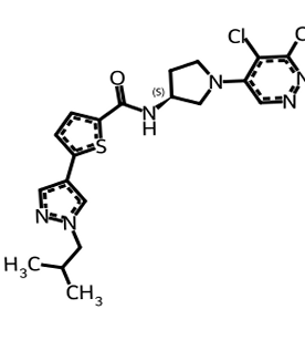 CC(C)Cn1cc(-c2ccc(C(=O)N[C@H]3CCN(c4cnnc(Cl)c4Cl)C3)s2)cn1